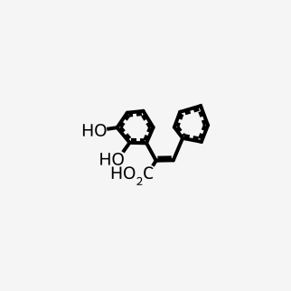 O=C(O)C(=Cc1ccccc1)c1cccc(O)c1O